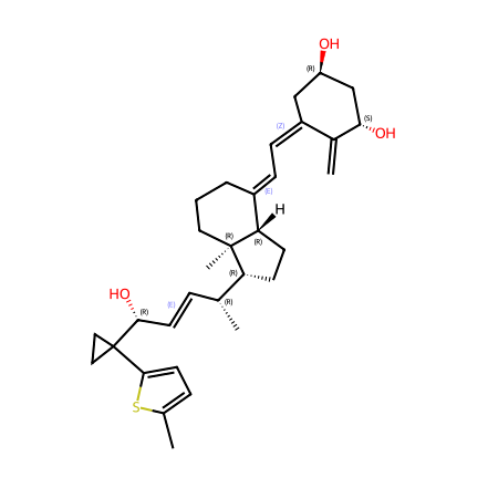 C=C1/C(=C\C=C2/CCC[C@]3(C)[C@@H]([C@H](C)/C=C/[C@@H](O)C4(c5ccc(C)s5)CC4)CC[C@@H]23)C[C@@H](O)C[C@@H]1O